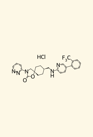 Cl.O=C1O[C@]2(CC[C@H](CNc3ccc(-c4ccccc4C(F)(F)F)cn3)CC2)CN1c1cccnn1